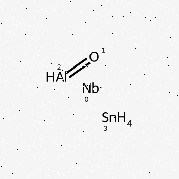 [Nb].[O]=[AlH].[SnH4]